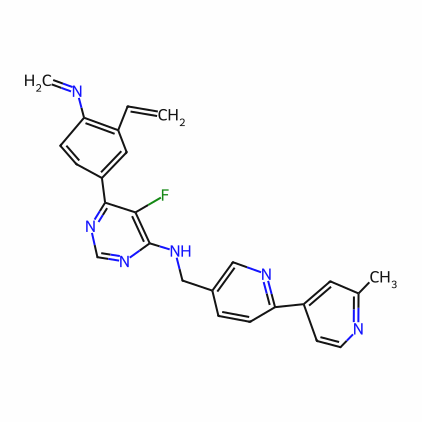 C=Cc1cc(-c2ncnc(NCc3ccc(-c4ccnc(C)c4)nc3)c2F)ccc1N=C